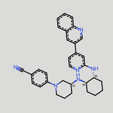 N#Cc1ccc(N2CCC[C@H](N[C@@H]3CCCC[C@H]3Nc3cc(-c4cnc5ccccc5c4)ccn3)C2)cc1